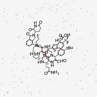 CC(C)(C)c1ccc(C([C@@H](C=O)NC(=O)[C@H](CCC(N)=O)NC(=O)[C@@H]2CC[C@@H]3CCN(CCF)C[C@H](NC(=O)c4cc5cc(C(F)(F)P(=O)(O)O)ccc5s4)C(=O)N32)N2CCC(CCC#Cc3cccc4c3CN(C3CCC(=O)NC3=O)C4=O)CC2)cc1